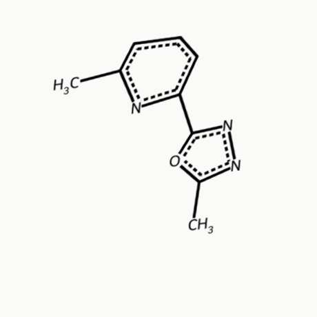 Cc1cccc(-c2nnc(C)o2)n1